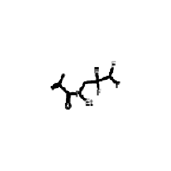 C=C(C)C(=O)N(CC)CC(F)(F)C(F)F